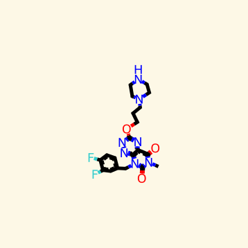 Cn1c(=O)c2nc(OCCCN3CCNCC3)nnc2n(Cc2ccc(F)c(F)c2)c1=O